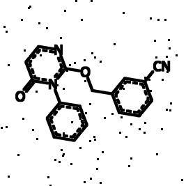 N#Cc1cccc(COc2nccc(=O)n2-c2ccccc2)c1